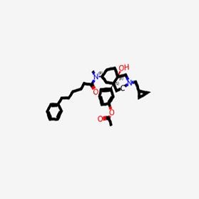 CC(=O)Oc1cccc([C@@]23CCN(CC4CC4)C[C@@]2(O)CC[C@@H](N(C)C(=O)CCCCCc2ccccc2)C3)c1